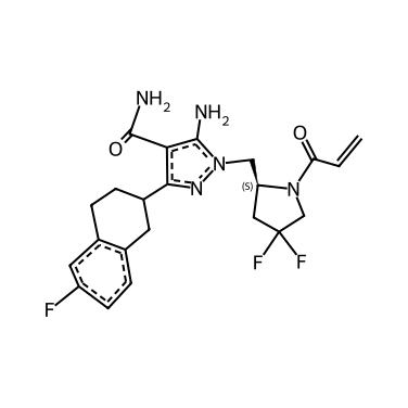 C=CC(=O)N1CC(F)(F)C[C@H]1Cn1nc(C2CCc3cc(F)ccc3C2)c(C(N)=O)c1N